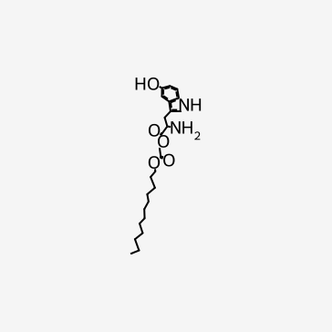 CCCCCCCCCCCCOC(=O)COC(=O)C(N)Cc1c[nH]c2ccc(O)cc12